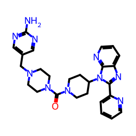 Nc1ncc(CN2CCN(C(=O)N3CCC(n4c(-c5ccccn5)nc5cccnc54)CC3)CC2)cn1